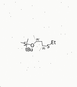 CCS[C@H](C)C[C@@H](C)O[Si](C)(C)C(C)(C)C